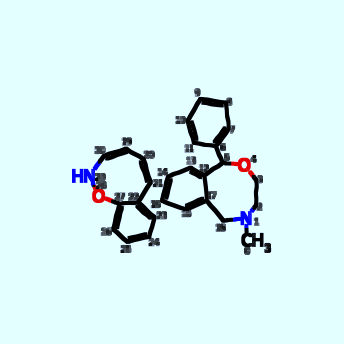 CN1CCOC(c2ccccc2)c2ccccc2C1.c1ccc2ccccc2o[nH]c1